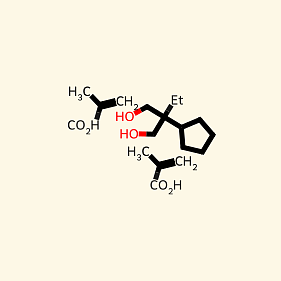 C=C(C)C(=O)O.C=C(C)C(=O)O.CCC(CO)(CO)C1CCCC1